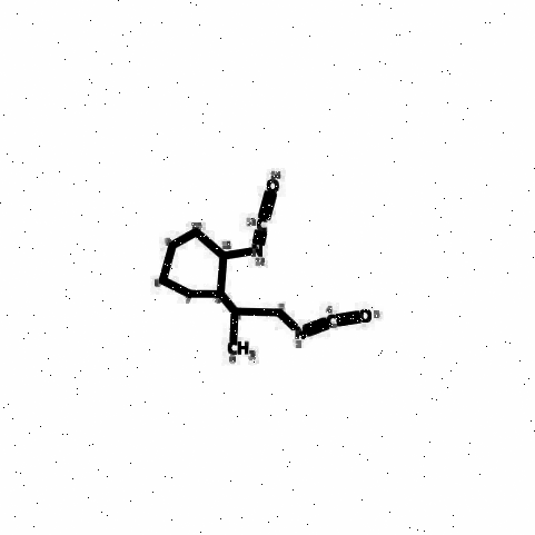 CC(CN=C=O)C1CCCCC1N=C=O